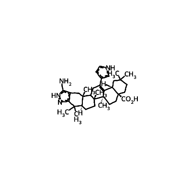 CC1(C)CC[C@]2(C(=O)O)CC[C@]3(C)C(=C(c4cc[nH]c4)CC4[C@@]5(C)Cc6c(n[nH]c6N)C(C)(C)[C@@H]5CC[C@]43C)[C@@H]2C1